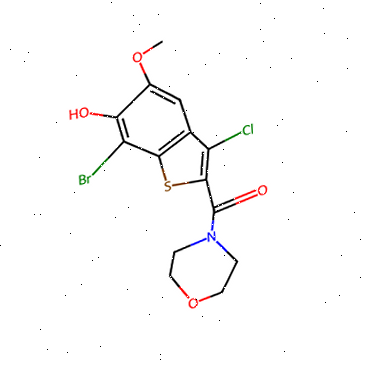 COc1cc2c(Cl)c(C(=O)N3CCOCC3)sc2c(Br)c1O